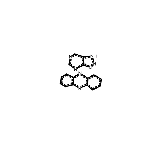 c1ccc2nc3ccccc3nc2c1.c1ncc2[nH]nnc2n1